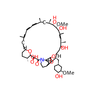 CO[C@H]1[C@@H](O)[C@H](C)C[C@H](C)/C=C/C=C/C=C(\C)CC[C@@H]2CC[C@@H](C)[C@@](O)(O2)C(=O)C(=O)N2CCC3C[C@H]2C(=O)O[C@@H](C[C@H](O)[C@H](C)/C=C(\C)[C@H]1O)[C@H]3C[C@@H]1CC[C@@H](O)[C@H](OC)C1